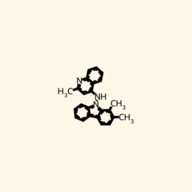 Cc1cc(Nn2c3ccccc3c3ccc(C)c(C)c32)c2ccccc2n1